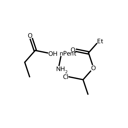 CCC(=O)O.CCC(=O)OC(C)Cl.CCCCCN